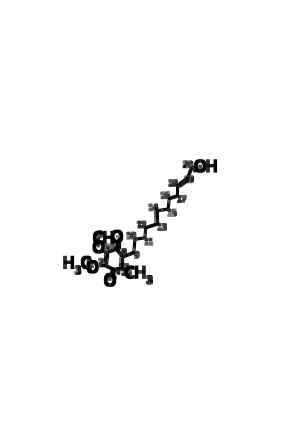 COC1=C(OC)C(=O)C(CCCCC=CCCCC=CCO)=C(C)C1=O